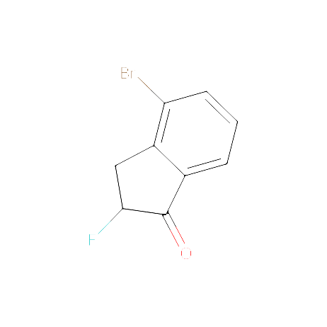 O=C1c2cccc(Br)c2CC1F